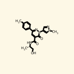 Cc1ccc(-c2cc(C(=O)N[C@@H](C)CO)c(=O)n(-c3cnn(C)c3)n2)cc1